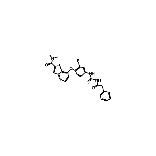 CN(C)C(=O)c1cc2nccc(Oc3ccc(NC(=S)NC(=O)Cc4ccccc4)cc3F)c2s1